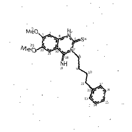 COc1cc2[nH]c(=S)n(CCCCc3ccccc3)c(=N)c2cc1OC